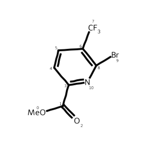 COC(=O)c1ccc(C(F)(F)F)c(Br)n1